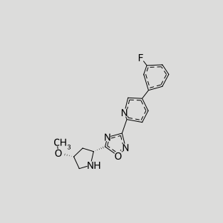 CO[C@H]1CN[C@@H](c2nc(-c3ccc(-c4cccc(F)c4)cn3)no2)C1